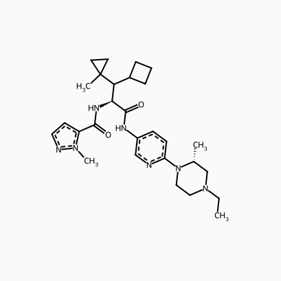 CCN1CCN(c2ccc(NC(=O)[C@@H](NC(=O)c3ccnn3C)C(C3CCC3)C3(C)CC3)cn2)[C@H](C)C1